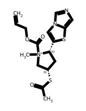 C=CCOC(=O)[N+]1(C)C[C@@H](SC(C)=O)C[C@H]1c1cn2cncc2s1